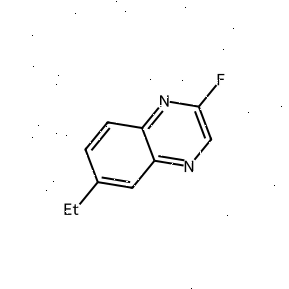 CCc1ccc2nc(F)cnc2c1